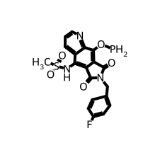 CS(=O)(=O)Nc1c2c(c(OP)c3ncccc13)C(=O)N(Cc1ccc(F)cc1)C2=O